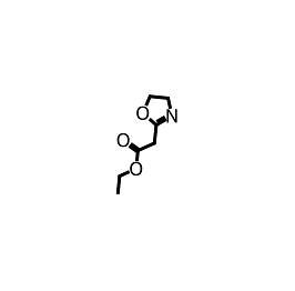 CCOC(=O)CC1=NCCO1